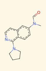 CN(C=O)c1ccc2c(N3CCCC3)nccc2c1